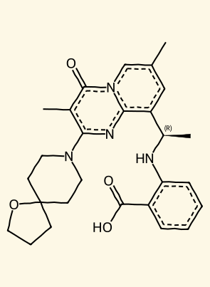 Cc1cc([C@@H](C)Nc2ccccc2C(=O)O)c2nc(N3CCC4(CCCO4)CC3)c(C)c(=O)n2c1